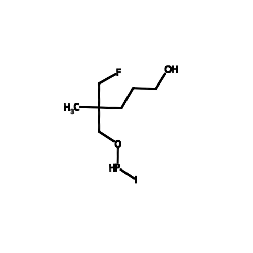 CC(CF)(CCCO)COPI